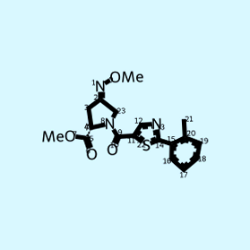 CON=C1C[C@@H](C(=O)OC)N(C(=O)c2cnc(-c3ccccc3C)s2)C1